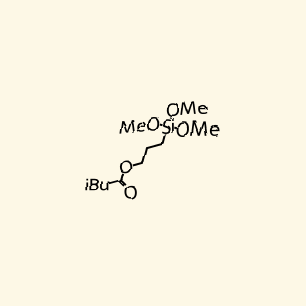 CCC(C)C(=O)OCCC[Si](OC)(OC)OC